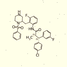 C[C@H](C(=O)Nc1cccc(F)c1CC1CNCCN1S(=O)(=O)c1ccccc1)[C@@H](c1ccc(Cl)cc1)c1cccc(F)c1